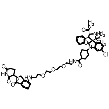 CC1(C)N[C@@H](C(N)=O)[C@H](c2ccccc2)[C@]12C(=O)N(C1CCC(C(=O)NCCOCCOCCOCCNc3cccc4c3CN(C3CCC(=O)NC3=O)C4=O)CC1)c1cc(Cl)ccc12